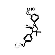 CC1(C)CN(c2cccc(OC=O)c2)C(=O)N1c1ccc(OC(F)(F)F)cc1